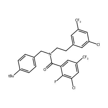 CC(C)(C)c1ccc(CN(CCc2cc(Cl)cc(C(F)(F)F)c2)C(=O)c2cc(C(F)(F)F)cc(Cl)c2F)cc1